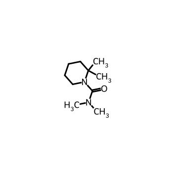 CN(C)C(=O)N1CCCCC1(C)C